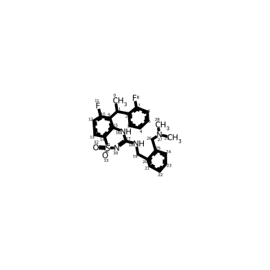 CC(c1ccccc1F)c1c(F)ccc2c1NC(NCc1ccccc1CN(C)C)=NS2(=O)=O